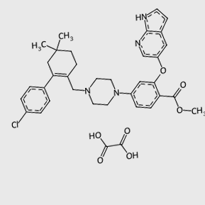 COC(=O)c1ccc(N2CCN(CC3=C(c4ccc(Cl)cc4)CC(C)(C)CC3)CC2)cc1Oc1cnc2[nH]ccc2c1.O=C(O)C(=O)O